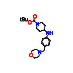 CC(C)(C)OC(=O)N1CCC(Nc2ccc(CN3CCOCC3)cc2)CC1